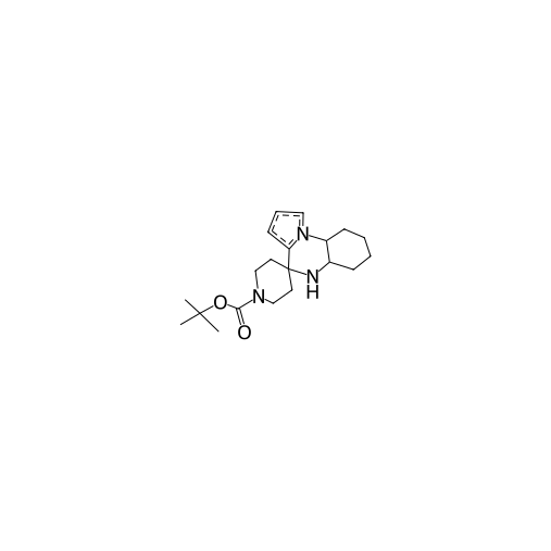 CC(C)(C)OC(=O)N1CCC2(CC1)NC1CCCCC1n1cccc12